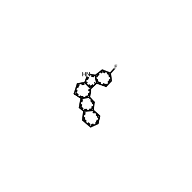 Fc1ccc2c(c1)[nH]c1ccc3cc4ccccc4cc3c12